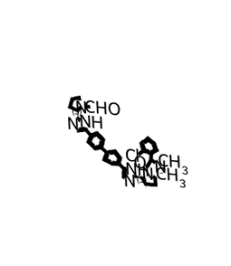 CN(C)C(C(=O)N1CCC[C@H]1c1ncc(-c2ccc(-c3ccc(-c4cnc([C@@H]5CCCN5C=O)[nH]4)cc3)cc2)[nH]1)c1ccccc1Cl